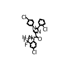 NN(C(=O)c1cn(-c2ccc(Cl)cc2)c(-c2ccccc2Cl)n1)c1ccc(Cl)cc1C(F)(F)F